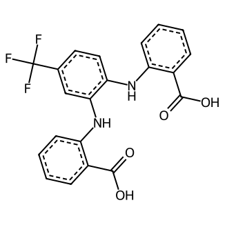 O=C(O)c1ccccc1Nc1ccc(C(F)(F)F)cc1Nc1ccccc1C(=O)O